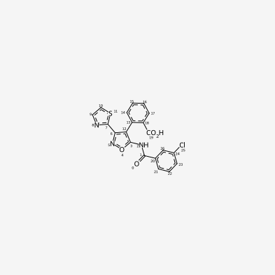 O=C(Nc1onc(-c2nccs2)c1-c1ccccc1C(=O)O)c1cccc(Cl)c1